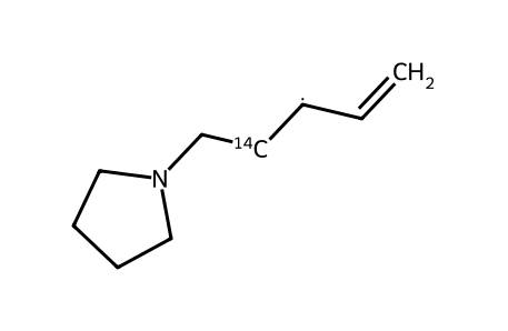 C=C[CH][14CH2]CN1CCCC1